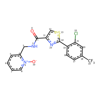 O=C(NCc1cccc[n+]1[O-])c1csc(-c2ccc(C(F)(F)F)cc2Cl)n1